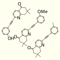 CC1(C)CC(=O)c2ccc(C#Cc3cccc(O)c3)nc2C1.COc1cccc(C#Cc2ccc3c(n2)CC(C)(C)CC3=O)c1.Cc1cccc(C#Cc2ccc3c(n2)CC(C)(C)CC3=O)c1